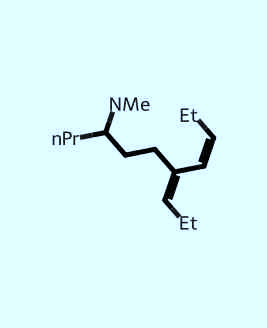 CC/C=C\C(=C/CC)CCC(CCC)NC